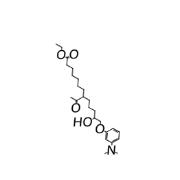 CCOC(=O)CCCCCCC(CCCC(O)COc1cccc(N(C)C)c1)C(C)=O